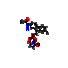 CCC(=O)Nc1ccc2c(c1)C(COC(=O)ON1C(=O)CCC1=O)c1cc(C)ccc1-2